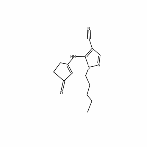 CCCCCn1ncc(C#N)c1NC1=CC(=O)CC1